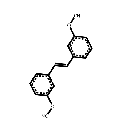 N#COc1cccc(C=Cc2cccc(OC#N)c2)c1